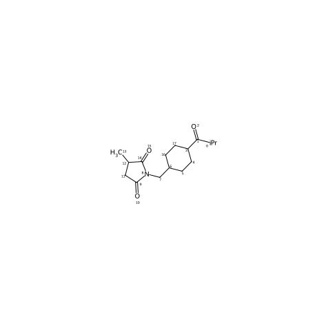 CC(C)C(=O)C1CCC(CN2C(=O)CC(C)C2=O)CC1